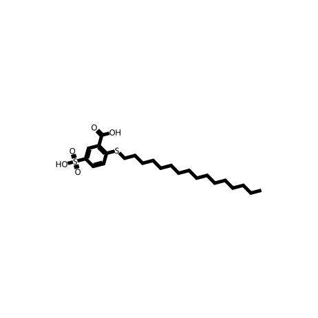 CCCCCCCCCCCCCCCCSc1ccc(S(=O)(=O)O)cc1C(=O)O